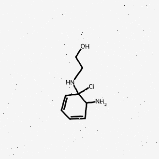 NC1C=CC=CC1(Cl)NCCO